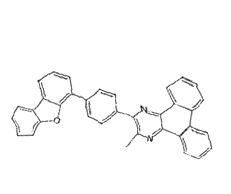 Cc1nc2c3ccccc3c3ccccc3c2nc1-c1ccc(-c2cccc3c2oc2ccccc23)cc1